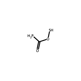 O=C(P)OS